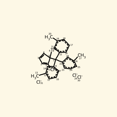 CC1=CC=C[C]1([Ti+3])C(c1cccc(C)c1)(c1cccc(C)c1)c1cccc(C)c1.[Cl-].[Cl-].[Cl-]